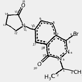 CC(C)n1nc(Br)c2ccc(N3CCCC3=O)cc2c1=O